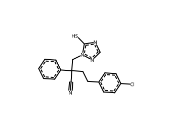 N#CC(CCc1ccc(Cl)cc1)(Cn1ncnc1S)c1ccccc1